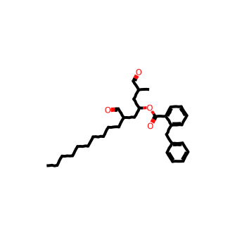 CCCCCCCCCCC(C=O)CC(CC(C)C=O)OC(=O)c1ccccc1Cc1ccccc1